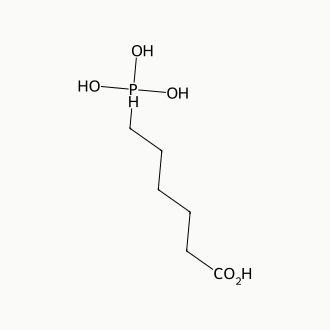 O=C(O)CCCCC[PH](O)(O)O